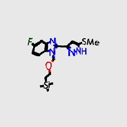 CSc1cc(-c2nc3cc(F)ccc3n2COCC[Si](C)(C)C)n[nH]1